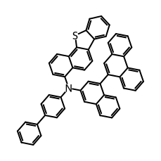 c1ccc(-c2ccc(N(c3cc(-c4cc5ccccc5c5ccccc45)c4ccccc4c3)c3cccc4c3ccc3c5ccccc5sc43)cc2)cc1